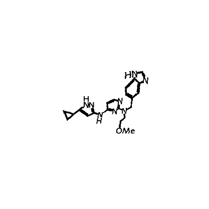 COCCN(Cc1ccc2[nH]cnc2c1)c1nccc(Nc2cc(C3CC3)[nH]n2)n1